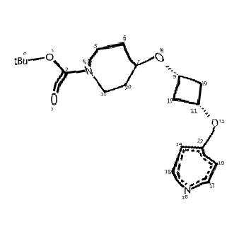 CC(C)(C)OC(=O)N1CCC(O[C@H]2C[C@@H](Oc3ccncc3)C2)CC1